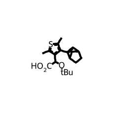 Cc1sc(C)c(C(OC(C)(C)C)C(=O)O)c1C1=CC2CCC1C2